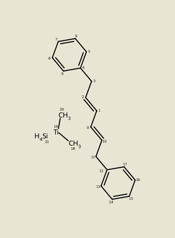 C(C=CCc1ccccc1)=CCc1ccccc1.[CH3][Ti][CH3].[SiH4]